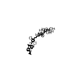 O=C(NCCCCc1cc(Cl)c(COC2(c3cnccc3-c3ccccc3OC3CC3)CC2)cc1Cl)NCC(O)C(O)C(O)C(O)CO